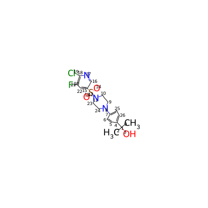 CC(C)(O)c1ccc(N2CCN(S(=O)(=O)c3cnc(Cl)c(F)c3)CC2)cc1